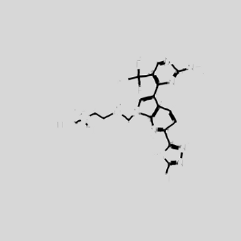 Cc1nnc(-c2ccc3c(-c4nc(N)ncc4C(F)(F)F)cn(COCC[Si](C)(C)C)c3n2)s1